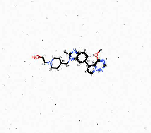 COc1ncnn2ccc(-c3ccc4nc(C)n(CC5CCN(CCO)CC5)c4c3)c12